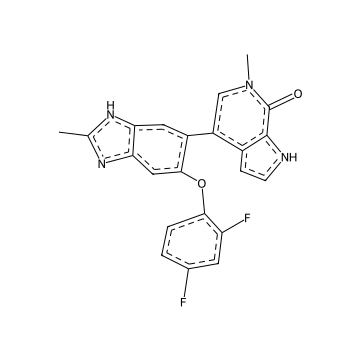 Cc1nc2cc(Oc3ccc(F)cc3F)c(-c3cn(C)c(=O)c4[nH]ccc34)cc2[nH]1